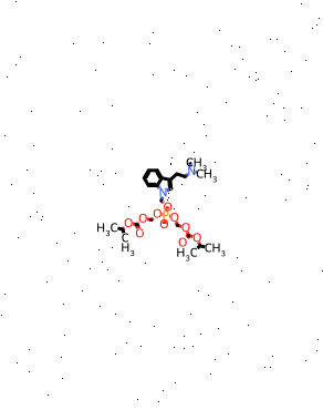 CC(C)OC(=O)OCOP(=O)(OCOC(=O)OC(C)C)OCn1cc(CCN(C)C)c2ccccc21